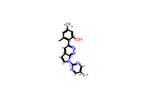 Cc1cc(C(F)(F)F)cc(O)c1-c1cc2ccn(-c3ncc(F)cn3)c2nn1